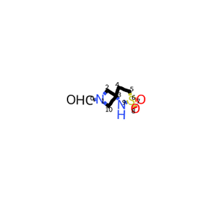 O=CN1CC2(CCS(=O)(=O)N2)C1